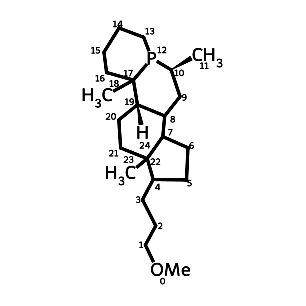 COCCCC1CCC2C3C[C@H](C)P4CCCCC4(C)[C@H]3CCC12C